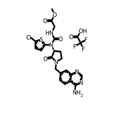 COC(=O)CNC(=O)N(c1ccc(Cl)s1)[C@H]1CCN(Cc2ccc3c(N)ncnc3c2)C1=O.O=C(O)C(F)(F)F